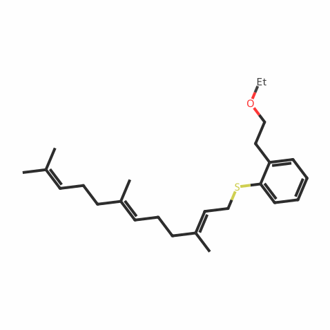 CCOCCc1ccccc1SC/C=C(\C)CC/C=C(\C)CCC=C(C)C